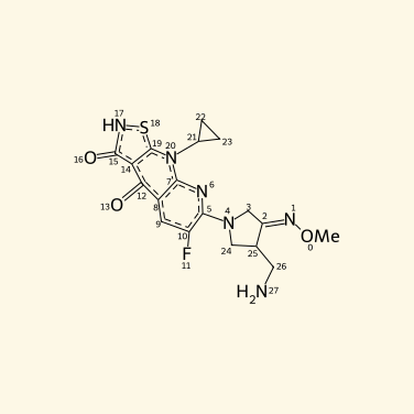 CON=C1CN(c2nc3c(cc2F)c(=O)c2c(=O)[nH]sc2n3C2CC2)CC1CN